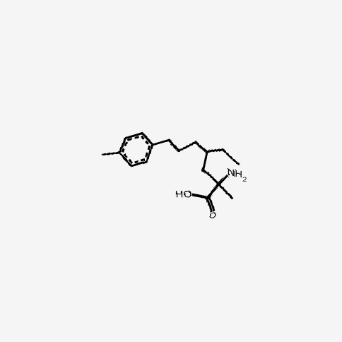 CCC(CCCc1ccc(C)cc1)CC(C)(N)C(=O)O